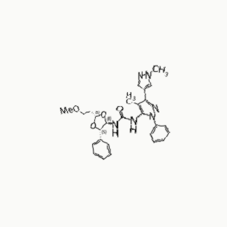 COCC[C@@H]1O[C@@H](NC(=O)Nc2c(C)c(-c3cnn(C)c3)nn2-c2ccccc2)[C@H](c2ccccc2)O1